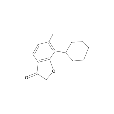 Cc1ccc2c(c1C1CCCCC1)OCC2=O